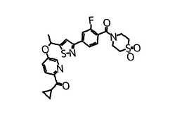 CC(Oc1ccc(C(=O)C2CC2)nc1)c1cc(-c2ccc(C(=O)N3CCS(=O)(=O)CC3)c(F)c2)ns1